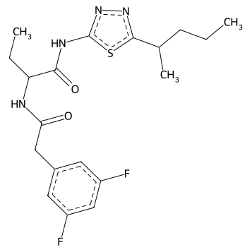 CCCC(C)c1nnc(NC(=O)C(CC)NC(=O)Cc2cc(F)cc(F)c2)s1